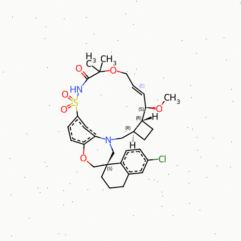 CO[C@@H]1/C=C/COC(C)(C)C(=O)NS(=O)(=O)c2ccc3c(c2)N(C[C@@H]2CC[C@H]21)C[C@@]1(CCCc2cc(Cl)ccc21)CO3